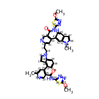 COc1nnc(NC(=O)c2cnc(CCn3ccc4c(-c5cc(C)ncc5C(=O)Nc5nnc(OC)s5)cccc43)cc2-c2ccc3ccn(C)c3c2)s1